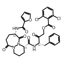 O=C(N[C@H]1CCC(=O)N2CCC[C@@H](C(=O)N[C@@H](Cc3ccccc3)C(=O)COC(=O)c3c(Cl)cccc3Cl)N2C1=O)c1ccco1